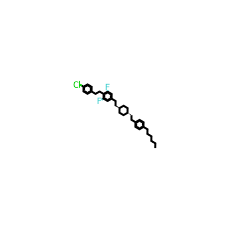 CCCCCCc1ccc(CC[C@H]2CC[C@H](CCc3cc(F)c(CCc4ccc(Cl)cc4)c(F)c3)CC2)cc1